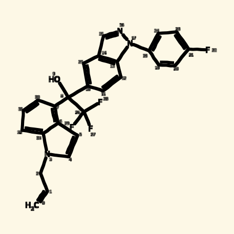 C=CCn1ccc2c(C(O)(c3ccc4c(cnn4-c4ccc(F)cc4)c3)C(F)(F)F)cccc21